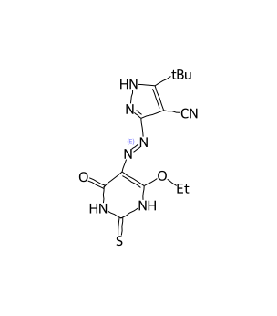 CCOc1[nH]c(=S)[nH]c(=O)c1/N=N/c1n[nH]c(C(C)(C)C)c1C#N